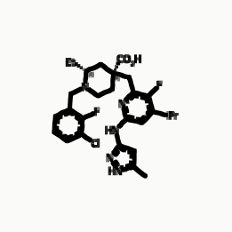 CC[C@@H]1C[C@](Cc2nc(Nc3cc(C)[nH]n3)cc(C(C)C)c2F)(C(=O)O)CCN1Cc1cccc(Cl)c1F